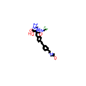 COC1CN(CCc2ccc(C#Cc3ccc(CC(C(=O)NCC(F)F)c4nc[nH]c(=O)c4O)cc3)cc2)C1